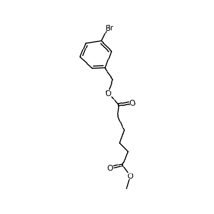 COC(=O)CCCCC(=O)OCc1cccc(Br)c1